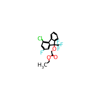 CCOC(=O)COC1(C(F)(F)F)c2ccccc2-c2c(Cl)cc(F)cc21